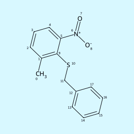 Cc1cccc([N+](=O)[O-])c1SCc1ccccc1